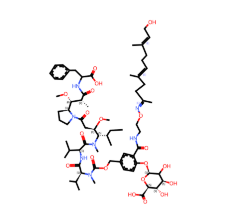 CCC(C)[C@@H]([C@@H](CC(=O)N1CCC[C@H]1[C@H](OC)[C@@H](C)C(=O)NC(Cc1ccccc1)C(=O)O)OC)N(C)C(=O)[C@@H](NC(=O)[C@H](C(C)C)N(C)C(=O)OCc1ccc(O[C@@H]2O[C@H](C(=O)O)[C@@H](O)[C@H](O)C2O)c(C(=O)NCCO/N=C(\C)CC/C(C)=C/CC/C(C)=C/CO)c1)C(C)C